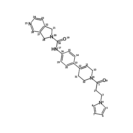 O=C(CCn1cccc1)N1CC=C(c2ccc(NC(=O)N3Cc4ccncc4C3)cc2)CC1